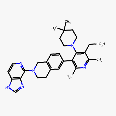 Cc1nc(C)c(-c2ccc3c(c2)CCN(c2nccc4[nH]cnc24)C3)c(N2CCC(C)(C)CC2)c1CC(=O)O